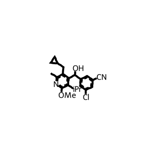 COc1nc(C)c(CC2CC2)c(C(O)c2cc(Cl)cc(C#N)c2)c1C(C)C